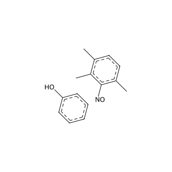 Cc1ccc(C)c(N=O)c1C.Oc1ccccc1